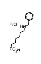 Cl.O=C(O)CCCCCCNCc1ccccc1